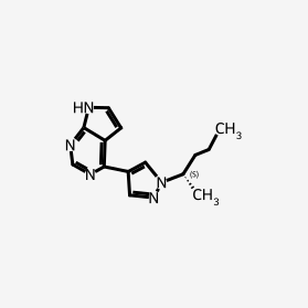 CCC[C@H](C)n1cc(-c2ncnc3[nH]ccc23)cn1